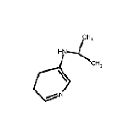 CC(C)NC1=CN=CCC1